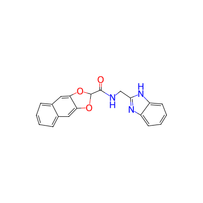 O=C(NCc1nc2ccccc2[nH]1)C1Oc2cc3ccccc3cc2O1